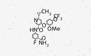 COc1cc(OC(F)(F)F)ccc1Oc1cc(C2CC2C)ncc1C(=O)Nc1ccc(F)c(C(N)=O)c1